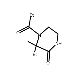 CCC(=O)N1CCNC(=O)C1(C)CC